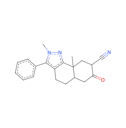 Cn1nc2c(c1-c1ccccc1)CCC1CC(=O)C(C#N)CC21C